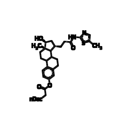 CCCCCCCCCCCC(=O)Oc1ccc2c(c1)CCC1C2CC[C@@]2(C)C1[C@H](CCC(=O)Nc1ncc(C)s1)C[C@@H]2O